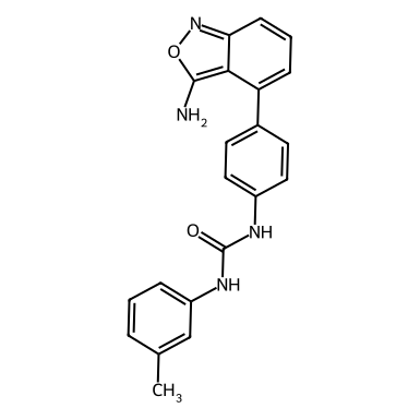 Cc1cccc(NC(=O)Nc2ccc(-c3cccc4noc(N)c34)cc2)c1